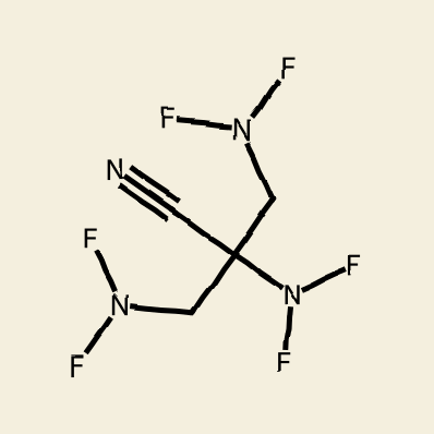 N#CC(CN(F)F)(CN(F)F)N(F)F